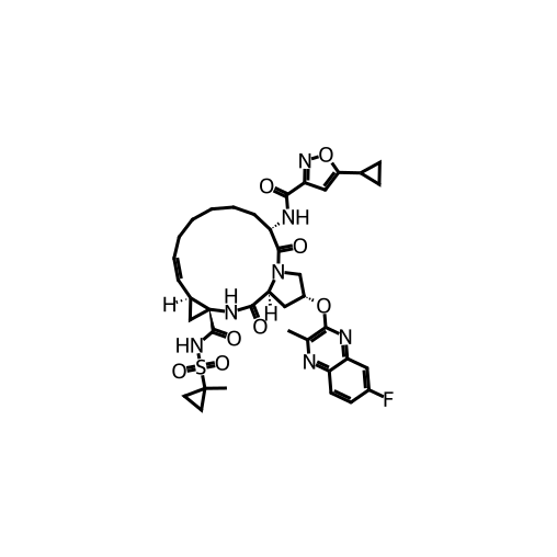 Cc1nc2ccc(F)cc2nc1O[C@@H]1C[C@H]2C(=O)N[C@]3(C(=O)NS(=O)(=O)C4(C)CC4)C[C@H]3/C=C\CCCCC[C@H](NC(=O)c3cc(C4CC4)on3)C(=O)N2C1